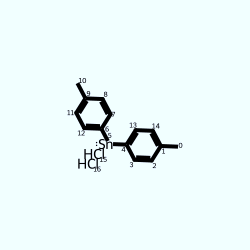 Cc1cc[c]([Sn][c]2ccc(C)cc2)cc1.Cl.Cl